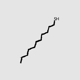 C[CH]CCCCCCCCCS